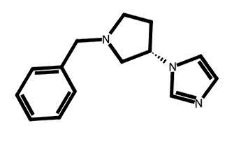 c1ccc(CN2CC[C@H](n3ccnc3)C2)cc1